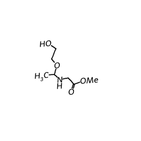 COC(=O)CNC(C)OCCO